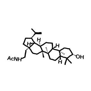 C=C(C)[C@@H]1CC[C@]2(CCNC(C)=O)CC[C@]3(C)[C@H](CC[C@@H]4[C@@]5(C)CC[C@H](O)C(C)(C)[C@@H]5CC[C@]43C)[C@@H]12